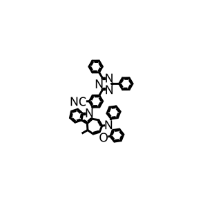 CC1C=C2Oc3ccccc3N(c3ccccc3)C2=Cc2c1c1ccccc1n2-c1ccc(-c2nc(-c3ccccc3)nc(-c3ccccc3)n2)cc1C#N